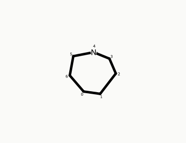 C1CCC[N]CC1